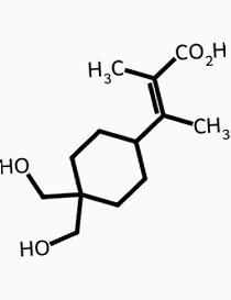 CC(C(=O)O)=C(C)C1CCC(CO)(CO)CC1